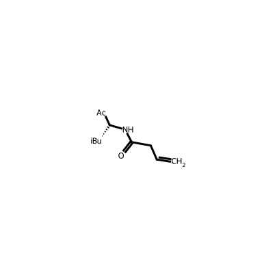 C=CCC(=O)NC(C(C)=O)[C@@H](C)CC